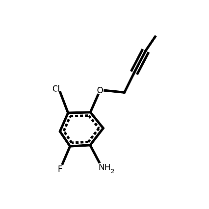 CC#CCOc1cc(N)c(F)cc1Cl